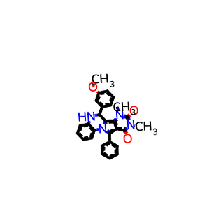 COc1cccc(C2Nc3ccccc3-n3c(-c4ccccc4)c4c(=O)n(C)c(=O)n(C)c4c32)c1